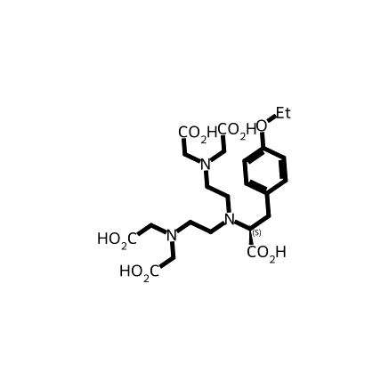 CCOc1ccc(C[C@@H](C(=O)O)N(CCN(CC(=O)O)CC(=O)O)CCN(CC(=O)O)CC(=O)O)cc1